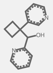 OC(c1ccccn1)C1(c2cccnc2)CCC1